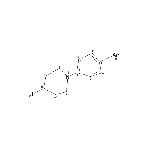 CC(=O)c1ccc(N2CCC(F)CC2)cc1